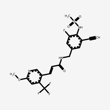 C#Cc1cc(CNC(=O)/C=C/c2cnc(OC)cc2C(F)(F)F)cc(F)c1NS(C)(=O)=O